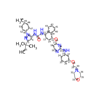 C#CC(C)(C)c1cc(NC(=O)Nc2ccc(Oc3ccnc(Nc4cccc(OCCN5CCOCC5)c4)n3)c3ccccc23)n(-c2ccc(C)cc2)n1